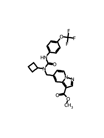 COC(=O)c1cnn2ccc(CN(C(=O)Nc3ccc(OC(F)(F)F)cc3)C3CCC3)cc12